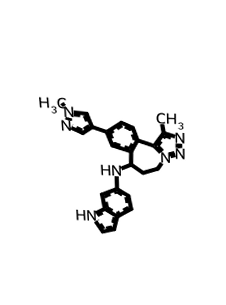 Cc1nnn2c1-c1ccc(-c3cnn(C)c3)cc1C(Nc1ccc3cc[nH]c3c1)CC2